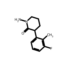 Cc1c(F)cccc1C1CCCN(N)C1=O